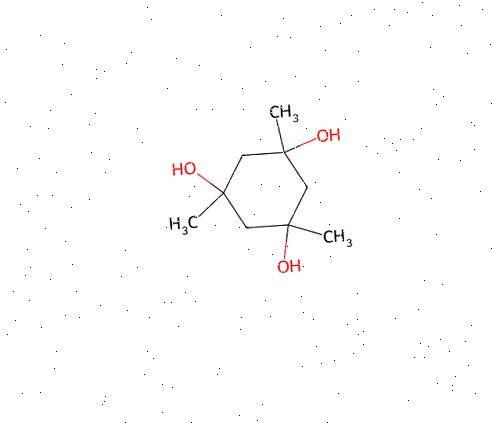 CC1(O)CC(C)(O)CC(C)(O)C1